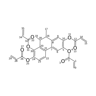 C=CC(=O)Oc1cc2c(cc1OC(=O)C=C)C(C)C(C)c1c-2ccc(OC(=O)C=C)c1OC(=O)C=C